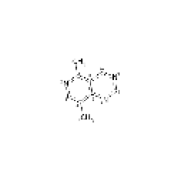 Cc1ncc(C)c2ncncc12